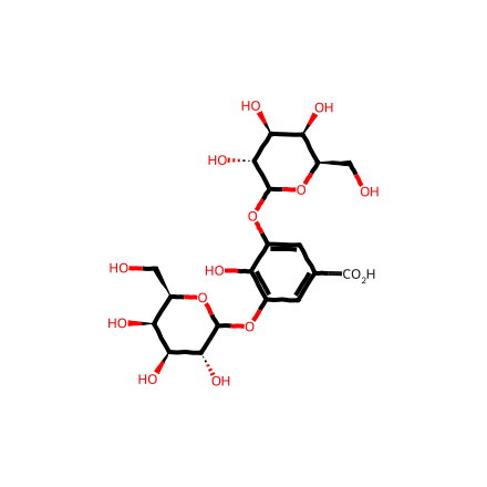 O=C(O)c1cc(OC2O[C@H](CO)[C@H](O)[C@H](O)[C@H]2O)c(O)c(OC2O[C@H](CO)[C@H](O)[C@H](O)[C@H]2O)c1